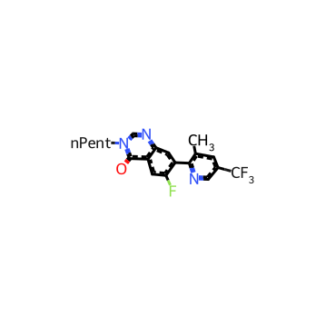 CCCCCn1cnc2cc(-c3ncc(C(F)(F)F)cc3C)c(F)cc2c1=O